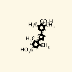 Cc1cc(-c2ccc(-c3c(C)cc(C(=O)O)cc3C)s2)cc(C)c1C(=O)O